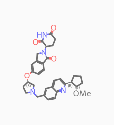 CO[C@H]1CCC[C@@H]1c1ccc2cc(CN3CC[C@H](Oc4ccc5c(c4)CN(C4CCC(=O)NC4=O)C5=O)C3)ccc2n1